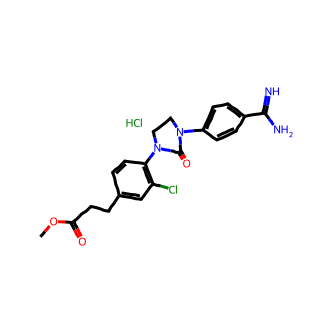 COC(=O)CCc1ccc(N2CCN(c3ccc(C(=N)N)cc3)C2=O)c(Cl)c1.Cl